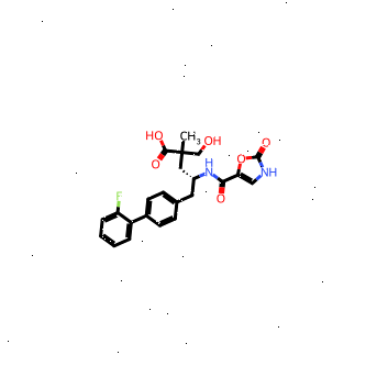 CC(CO)(C[C@@H](Cc1ccc(-c2ccccc2F)cc1)NC(=O)c1c[nH]c(=O)o1)C(=O)O